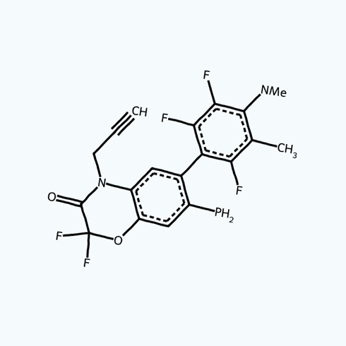 C#CCN1C(=O)C(F)(F)Oc2cc(P)c(-c3c(F)c(C)c(NC)c(F)c3F)cc21